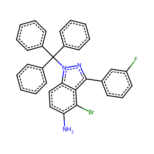 Nc1ccc2c(c(-c3cccc(F)c3)nn2C(c2ccccc2)(c2ccccc2)c2ccccc2)c1Br